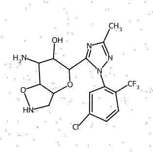 Cc1nc(C2OC3CNOC3C(N)C2O)n(-c2cc(Cl)ccc2C(F)(F)F)n1